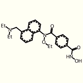 CCON(C(=O)c1ccc(C(=O)NO)cc1)c1cccc2c(CN(CC)CC)cccc12